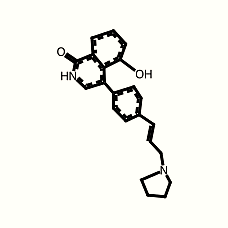 O=c1[nH]cc(-c2ccc(/C=C/CN3CCCC3)cc2)c2c(O)cccc12